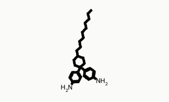 CCCCCCCCCCC1CCC(c2ccc(N)cc2)(c2ccc(N)cc2)CC1